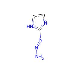 NN=Nc1ncc[nH]1